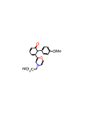 COc1ccc(C2C(=O)C=CC=C2C2=CN(CC(=O)O)C=CO2)cc1